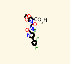 O=C(NCC(=O)N1CC2(C[C@H]1C(=O)O)OCCO2)c1ncc(-c2ccc(F)cc2F)cc1F